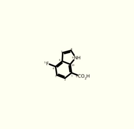 O=C(O)c1ccc(F)c2cc[nH]c12